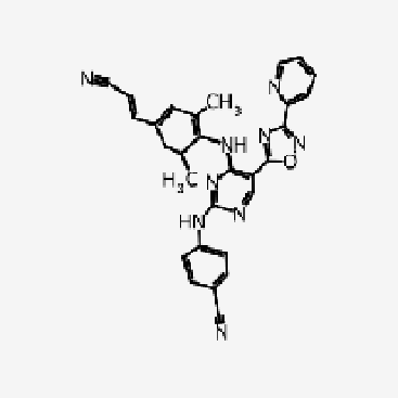 CC1=C(Nc2nc(Nc3ccc(C#N)cc3)ncc2-c2nc(-c3ccccn3)no2)C(C)CC(/C=C/C#N)=C1